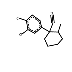 CC1CCCCC1(C#N)c1ccc(Cl)c(Cl)c1